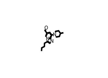 CCCCc1cnc2c(N3CCC(C)CC3)cc(C=O)cn12